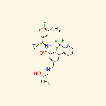 Cc1cc([C@@H](NC(=O)c2cc(CNCC(C)O)cc(-c3cccnc3C(F)(F)F)c2)C2CC2)ccc1F